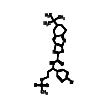 CC(C)(C)C1CCc2nc3sc(C(=O)NC(CCOS(C)(=O)=O)c4ccc(Br)cc4)nc3cc2C1